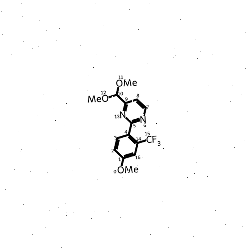 COc1ccc(-c2nccc(C(OC)OC)n2)c(C(F)(F)F)c1